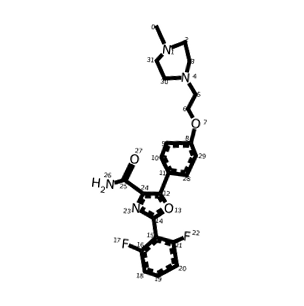 CN1CCN(CCOc2ccc(-c3oc(-c4c(F)cccc4F)nc3C(N)=O)cc2)CC1